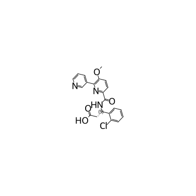 COc1ccc(C(=O)N[C@@H](CC(=O)O)c2ccccc2Cl)nc1-c1cccnc1